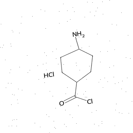 Cl.NC1CCC(C(=O)Cl)CC1